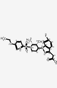 CCOc1ccc(S(=O)(=O)N2CCC(n3nc(CC(=O)O)c4ccc(F)cc43)[C@@H](C)[C@H]2C)nc1